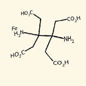 NC(CC(=O)O)(CC(=O)O)C(N)(CC(=O)O)CC(=O)O.[Fe]